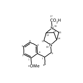 COc1ccccc1C(C)CN1CC2CC1CN2C(=O)O